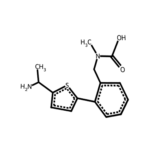 CC(N)c1ccc(-c2ccccc2CN(C)C(=O)O)s1